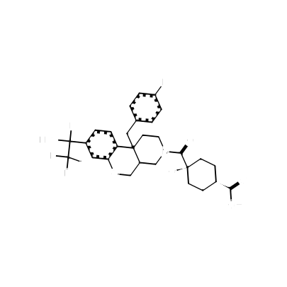 CC(F)(c1ccc2c(c1)OCC1CN(C(=O)[C@]3(O)CC[C@@H](C(=O)O)CC3)CCC21Cc1ccc(F)cc1)C(F)(F)F